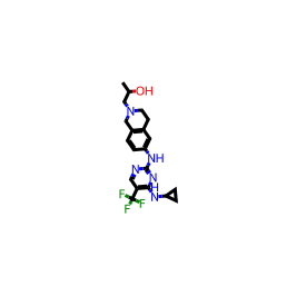 CC(O)CN1CCc2cc(Nc3ncc(C(F)(F)F)c(NC4CC4)n3)ccc2C1